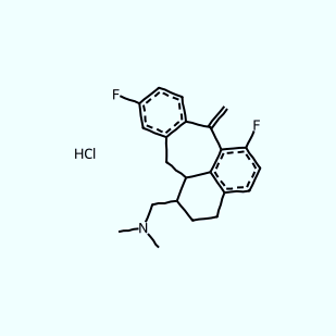 C=C1c2ccc(F)cc2CC2c3c(ccc(F)c31)CCC2CN(C)C.Cl